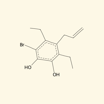 C=CCc1c(CC)c(O)c(O)c(Br)c1CC